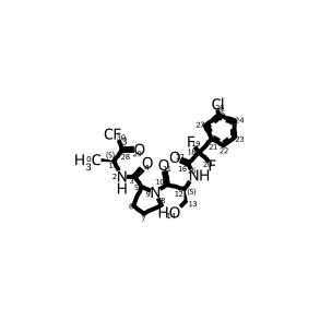 C[C@H](NC(=O)C1CCCN1C(=O)[C@H](CO)NC(=O)C(F)(F)c1cccc(Cl)c1)C(=O)C(F)(F)F